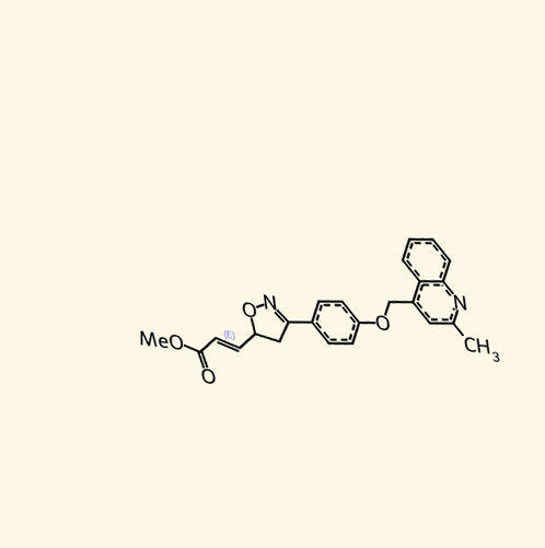 COC(=O)/C=C/C1CC(c2ccc(OCc3cc(C)nc4ccccc34)cc2)=NO1